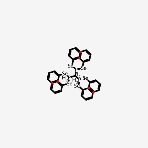 c1ccc([Se][PH2]([Se]c2ccccc2)C([PH2]([Se]c2ccccc2)[Se]c2ccccc2)[PH2]([Se]c2ccccc2)[Se]c2ccccc2)cc1